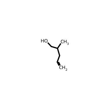 C=CCC(C)CO